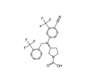 N#Cc1ccc(N(Cc2ccccc2C(F)(F)F)[C@H]2CCN(C(=O)O)C2)cc1C(F)(F)F